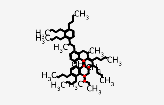 CCCCc1ccc(C(C)Cc2ccc(O)c(CC(C)c3ccc(CCCC)c(CCCC)c3CCCC)c2CC(C)c2ccc(CCCC)c(CCCC)c2CCCC)c(CCCC)c1CCCC